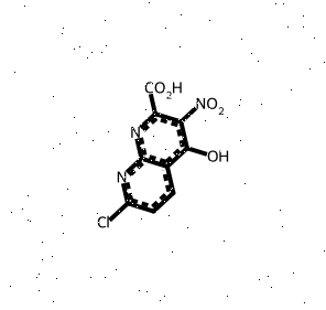 O=C(O)c1nc2nc(Cl)ccc2c(O)c1[N+](=O)[O-]